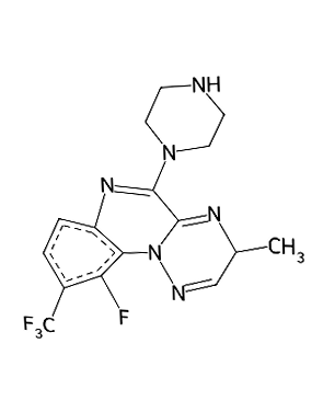 CC1C=NN2C(=N1)C(N1CCNCC1)=Nc1ccc(C(F)(F)F)c(F)c12